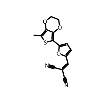 N#CC(C#N)=Cc1ccc(-c2sc(I)c3c2OCCO3)o1